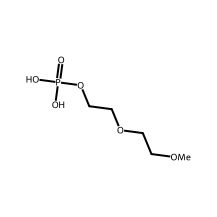 COCCOCCOP(=O)(O)O